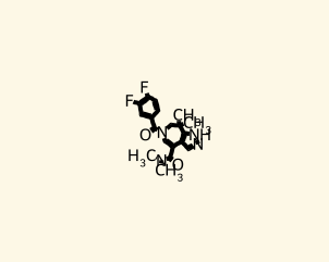 CN(C)C(=O)C1=CN(C(=O)c2ccc(F)c(F)c2)CC(C)(C)c2[nH]ncc21